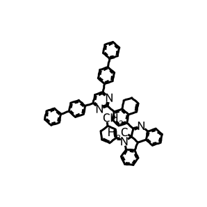 CC1C=C(N2c3ccccc3C3c4ccccc4N=C(c4ccc(-c5nc(-c6ccc(-c7ccccc7)cc6)cc(-c6ccc(-c7ccccc7)cc6)n5)c5c4C=CCC5)C32C)C=CC1